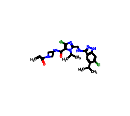 C=CC(=O)N1CC(NC(=O)c2c(Cl)nc(CNc3n[nH]c4cc(Cl)c(C(C)C)cc34)n2C(C)C)C1